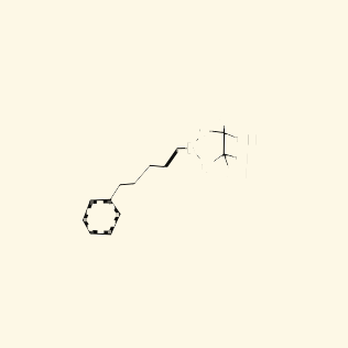 CC1(C)OB(C=CCCCc2ccccc2)OC1(C)C